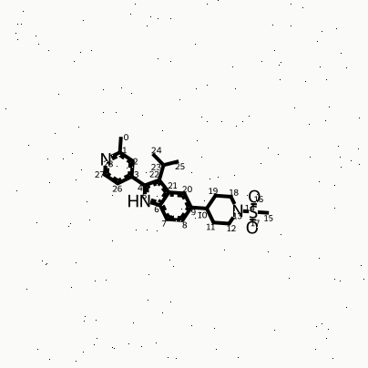 Cc1cc(-c2[nH]c3ccc(C4CCN(S(C)(=O)=O)CC4)cc3c2C(C)C)ccn1